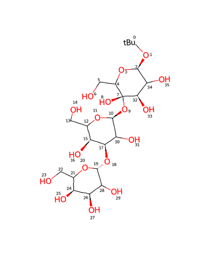 CC(C)(C)O[C@@H]1OC(CO)[C@@](O)(O[C@@H]2OC(CO)[C@H](O)[C@H](O[C@H]3OC(CO)[C@H](O)[C@H](O)C3O)C2O)[C@H](O)C1O